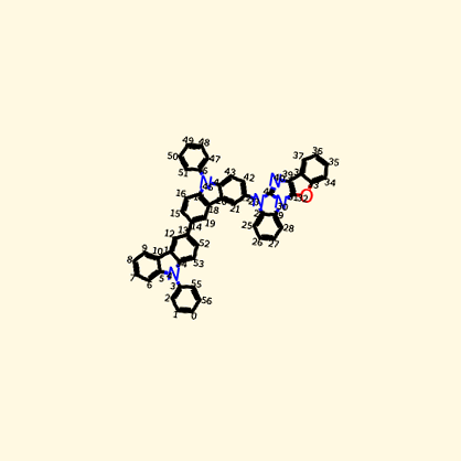 c1ccc(-n2c3ccccc3c3cc(-c4ccc5c(c4)c4cc(-n6c7ccccc7n7c8oc9ccccc9c8nc67)ccc4n5-c4ccccc4)ccc32)cc1